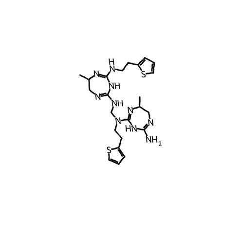 CC1CN=C(NCN(CCc2cccs2)C2=NC(C)CN=C(N)N2)NC(NCCc2cccs2)=N1